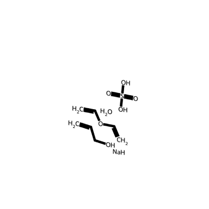 C=CCO.C=COC=C.O.O=S(=O)(O)O.[NaH]